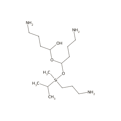 CC(C)[Si](C)(CCCN)OC(CCCN)OC(O)CCCN